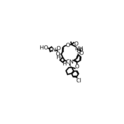 CC1(C)OC/C=C/[C@H](OC(=O)N2CC(O)C2)[C@@H]2CC[C@H]2CN2C[C@@]3(CCCc4cc(Cl)ccc43)COc3ccc(cc32)S(=O)(=O)NC1=O